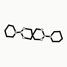 C1CCN(P2OCC3(CO2)COP(N2CCCCC2)OC3)CC1